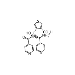 NC(=O)c1ccncc1.NC(=O)c1ccncc1.O=C(O)c1cscc1C(=O)O